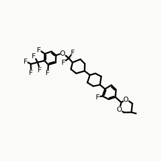 CC1COC(c2ccc(C3CCC(C4CCC(C(F)(F)Oc5cc(F)c(C(F)(F)C(F)F)c(F)c5)CC4)CC3)c(F)c2)OC1